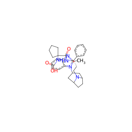 Cc1nc2ccccc2n1C1CC2CCC(C1)N2CC[C@H](NC(=O)C1(NC(=O)O)CCCC1)c1ccccc1